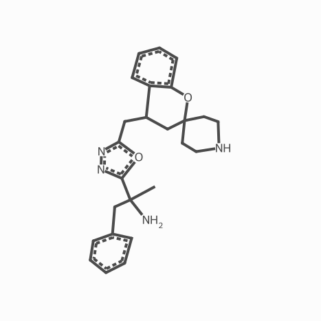 CC(N)(Cc1ccccc1)c1nnc(CC2CC3(CCNCC3)Oc3ccccc32)o1